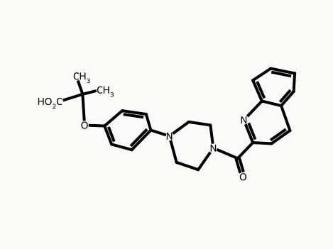 CC(C)(Oc1ccc(N2CCN(C(=O)c3ccc4ccccc4n3)CC2)cc1)C(=O)O